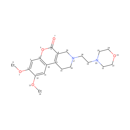 CCOc1cc2oc(=O)c3c(c2cc1OCC)CCN(CCN1CCOCC1)C3